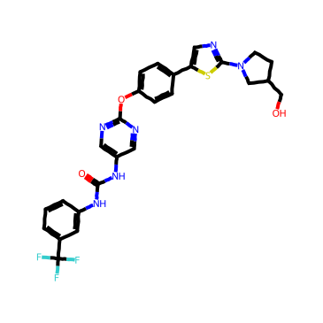 O=C(Nc1cnc(Oc2ccc(-c3cnc(N4CCC(CO)C4)s3)cc2)nc1)Nc1cccc(C(F)(F)F)c1